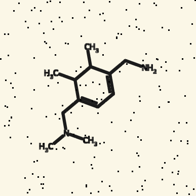 CC1C(CN)=CC=C(CN(C)C)C1C